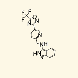 FC(F)(F)c1nc(-c2ccc(CNc3[nH]nc4ccccc34)nc2)no1